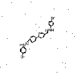 Brc1ccc(N/N=C/c2ccc(-c3ccc(/C=N/Nc4ccc(Br)cc4)cc3)cc2)cc1